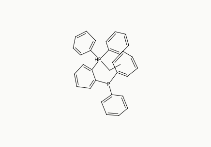 CC[PH](c1ccccc1)(c1ccccc1)c1ccccc1P(c1ccccc1)c1ccccc1